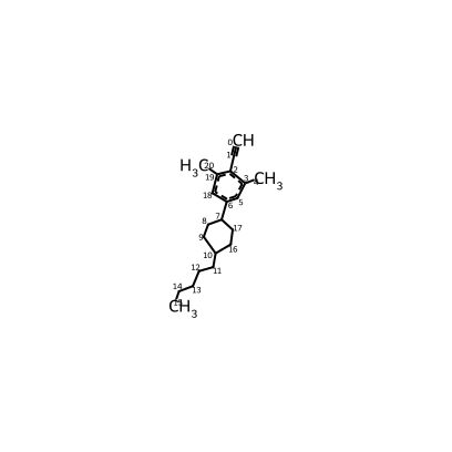 C#Cc1c(C)cc(C2CCC(CCCCC)CC2)cc1C